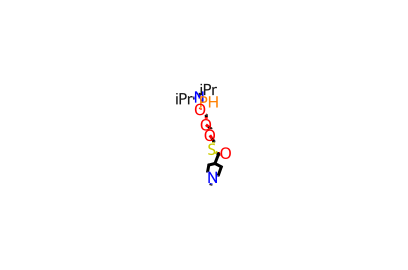 CC(C)N(POCOCOCSC(=O)C1CCN(C)CC1)C(C)C